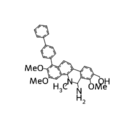 COc1cc2c3c(ccc2c(-c2ccc(-c4ccccc4)cc2)c1OC)-c1ccc(CO)c(OC)c1C(N)N3C